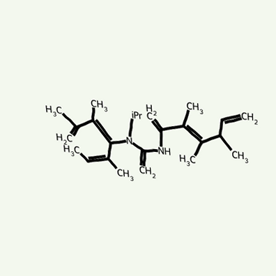 C=CC(C)/C(C)=C(\C)C(=C)NC(=C)N(C(/C(C)=C\C)=C(\C)C(=C)C)C(C)C